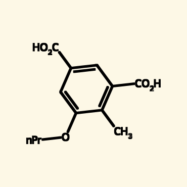 CCCOc1cc(C(=O)O)cc(C(=O)O)c1C